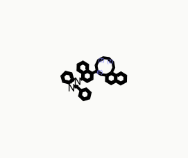 C1=C\C/C(c2ccc(-n3c(-c4ccccc4)nc4ccccc43)c3ccccc23)=C\c2ccc3ccccc3c2C\C=C/1